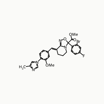 COC(=O)C1(c2ccc(F)cc2Br)ON=C2/C(=C/c3ccc(-n4cnc(C)c4)c(OC)c3)CCCN21